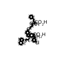 C[C@@H](COc1ccnc2c1[C@H](C)CCC2)C[C@H]1Cc2ccc(OCCCC(=O)N[C@@H](CCc3ccccc3)C(=O)O)cc2C12CCC(Nc1cccc(Cl)c1)(C(=O)O)CC2